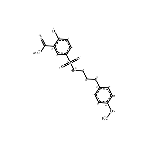 CCc1ccc(S(=O)(=O)NCCSc2ccc(OC(F)(F)F)cc2)cc1C(=O)OC